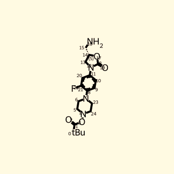 CC(C)(C)C(=O)ON1CCN(c2ccc(N3C[C@H](CN)OC3=O)cc2F)CC1